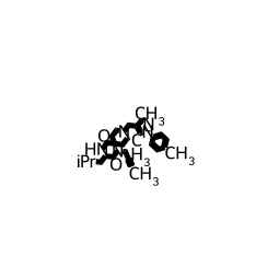 CC#CCN1C(=O)C(CC(C)C)NC(=O)C12CCN(Cc1c(C)nn(-c3ccc(C)cc3)c1C)CC2